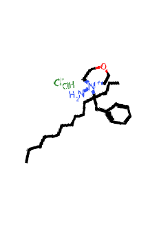 CCCCCCCCCCC(CCC)(Cc1ccccc1)[N+]1(N)CCOCC1.Cl.[Cl-]